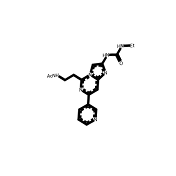 CCNC(=O)Nc1cn2c(CCNC(C)=O)nc(-c3cccnc3)cc2n1